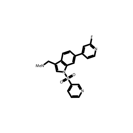 CNCc1cn(S(=O)(=O)c2cccnc2)c2cc(-c3ccnc(F)c3)ccc12